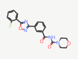 O=C(NC(=O)N1CCOCC1)c1cccc(-c2noc(-c3ccccc3F)n2)c1